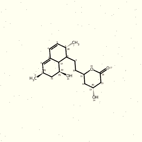 C[C@H]1C=C2C=C[C@H](C)C(CCC3C[C@@H](O)CC(=O)O3)C2[C@@H](O)C1